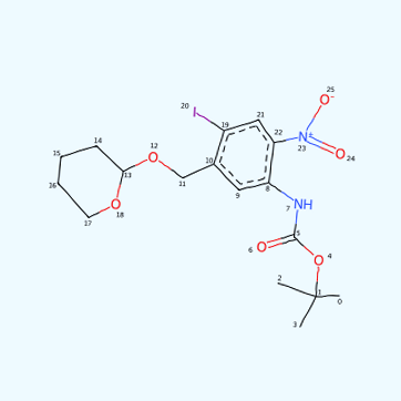 CC(C)(C)OC(=O)Nc1cc(COC2CCCCO2)c(I)cc1[N+](=O)[O-]